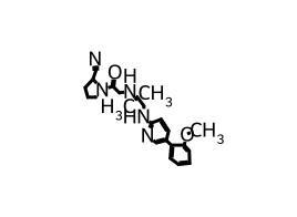 COc1ccccc1-c1ccc(NCC(C)(C)NCC(=O)N2CCCC2C#N)nc1